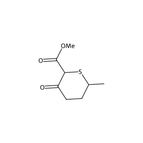 COC(=O)C1SC(C)CCC1=O